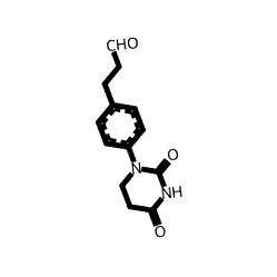 O=CCCc1ccc(N2CCC(=O)NC2=O)cc1